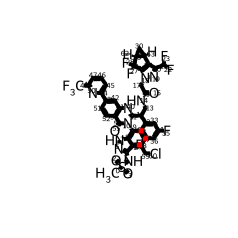 CS(=O)(=O)Nc1n[nH]c2c(-n3c(C(CNC(=O)Cn4nc(C(F)F)c5c4C(F)(F)[C@@H]4C[C@H]54)c4cc(F)cc(F)c4)nc4cc(-c5cccc(C(F)(F)F)n5)ccc4c3=O)ccc(CCl)c12